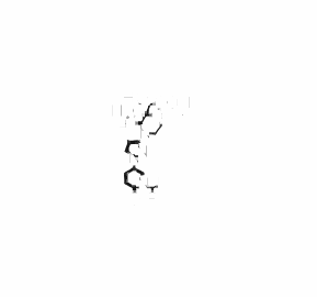 C[C@]1(C(O)C(=O)O)OCCN(c2nn(-c3ccc(=O)n(C(F)F)c3)cc2F)C1=O